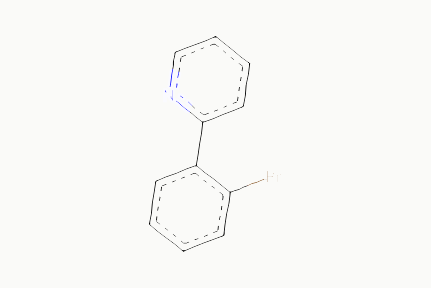 Brc1ccc[c]c1-c1ccccn1